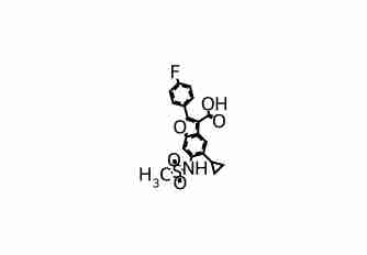 CS(=O)(=O)Nc1cc2oc(-c3ccc(F)cc3)c(C(=O)O)c2cc1C1CC1